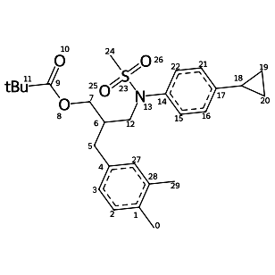 Cc1ccc(CC(COC(=O)C(C)(C)C)CN(c2ccc(C3CC3)cc2)S(C)(=O)=O)cc1C